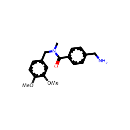 COc1ccc(CN(C)C(=O)c2ccc(CN)cc2)cc1OC